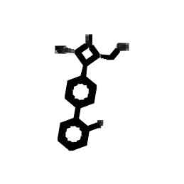 N#C[C@@H]1N[C@H](CO)[C@H]1c1ccc(-c2ccccc2F)cc1